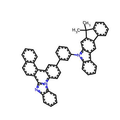 CC1(C)c2ccccc2-c2cc3c4ccccc4n(-c4cccc(-c5ccc6c(c5)c5c7ccccc7ccc5c5nc7ccccc7n65)c4)c3cc21